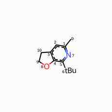 Cc1cc2c(c(C(C)(C)C)n1)OCC2